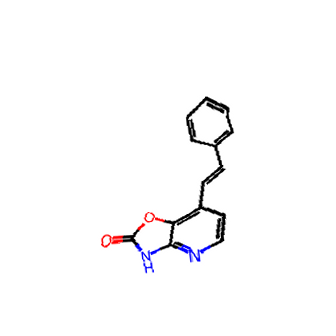 O=c1[nH]c2nccc(C=Cc3ccccc3)c2o1